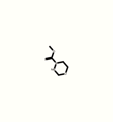 COC(=S)N1CCOCN1